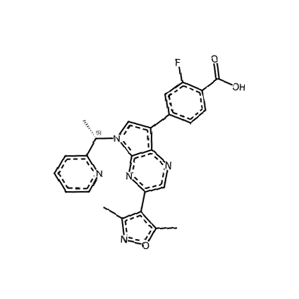 Cc1noc(C)c1-c1cnc2c(-c3ccc(C(=O)O)c(F)c3)cn([C@@H](C)c3ccccn3)c2n1